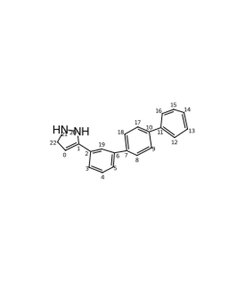 C1=C(c2cccc(-c3ccc(-c4ccccc4)cc3)c2)NNC1